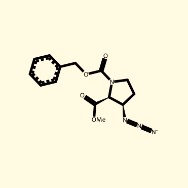 COC(=O)[C@@H]1[C@H](N=[N+]=[N-])CCN1C(=O)OCc1ccccc1